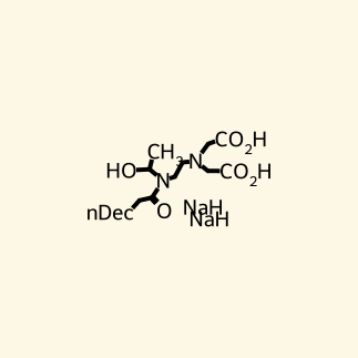 CCCCCCCCCCCC(=O)N(CCN(CC(=O)O)CC(=O)O)C(C)O.[NaH].[NaH]